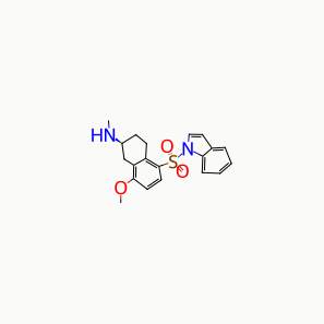 CN[C@H]1CCc2c(S(=O)(=O)n3ccc4ccccc43)ccc(OC)c2C1